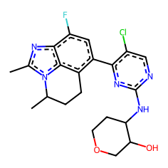 Cc1nc2c(F)cc(-c3nc(NC4CCOCC4O)ncc3Cl)c3c2n1C(C)CC3